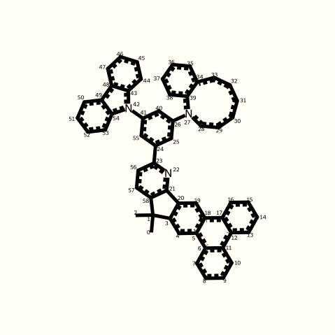 CC1(C)c2cc3c4ccccc4c4ccccc4c3cc2-c2nc(-c3cc(-n4ccccccc5ccccc54)cc(-n4c5ccccc5c5ccccc54)c3)ccc21